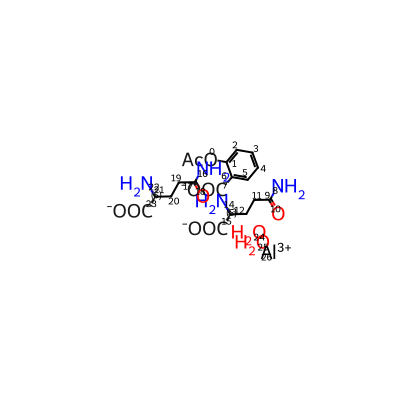 CC(=O)Oc1ccccc1C(=O)[O-].NC(=O)CC[C@H](N)C(=O)[O-].NC(=O)CC[C@H](N)C(=O)[O-].O.O.[Al+3]